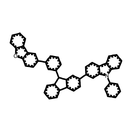 c1ccc(-n2c3ccccc3c3ccc(-c4ccc5c(c4)C(c4cccc(-c6ccc7oc8ccccc8c7c6)c4)c4ccccc4-5)cc32)cc1